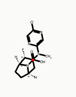 CN(c1cnc(Cl)cn1)C1C[C@H]2CC[C@@H]([C@@H]1F)N2C(=O)O